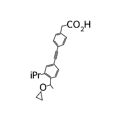 CC(C)c1cc(C#Cc2ccc(CC(=O)O)cc2)ccc1C(C)OC1CC1